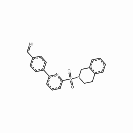 N=Cc1ccc(-c2cccc(S(=O)(=O)N3CCc4ccccc4C3)n2)cc1